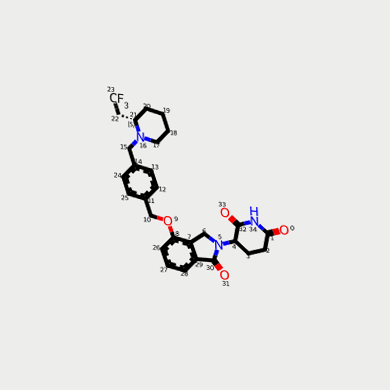 O=C1CCC(N2Cc3c(OCc4ccc(CN5CCCC[C@H]5CC(F)(F)F)cc4)cccc3C2=O)C(=O)N1